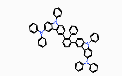 c1ccc(-c2c(-c3ccc4c(c3)c3cc(N(c5ccccc5)c5ccccc5)ccc3n4-c3ccccc3)cccc2-c2ccc3c(c2)c2cc(N(c4ccccc4)c4ccccc4)ccc2n3-c2ccccc2)cc1